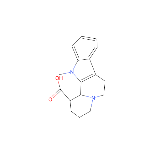 Cn1c2c(c3ccccc31)CCN1CCCC(C(=O)O)C21